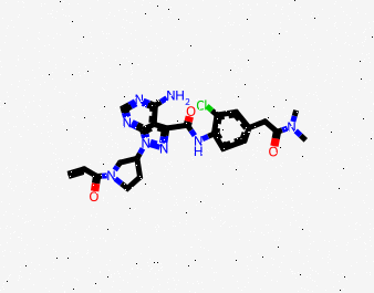 C=CC(=O)N1CCC(n2nc(C(=O)Nc3ccc(CC(=O)N(C)C)cc3Cl)c3c(N)ncnc32)C1